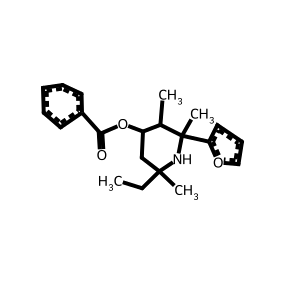 CCC1(C)CC(OC(=O)c2ccccc2)C(C)C(C)(c2ccco2)N1